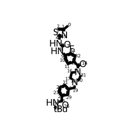 Cc1csc(NC(=O)Nc2ccc(C(=O)N3CCN(Cc4cccc(C(=O)NC(C)(C)C)c4)CC3)cc2F)n1